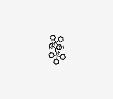 CN(CC(O)c1nccn1C(c1ccccc1)(c1ccccc1)c1ccccc1)C(c1ccccc1)(c1ccccc1)c1ccccc1